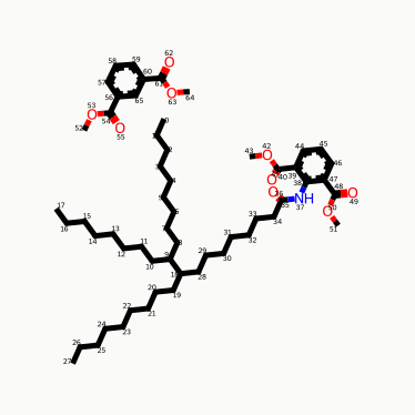 CCCCCCCCCC(CCCCCCCC)C(CCCCCCCCC)CCCCCCCC(=O)Nc1c(C(=O)OC)cccc1C(=O)OC.COC(=O)c1cccc(C(=O)OC)c1